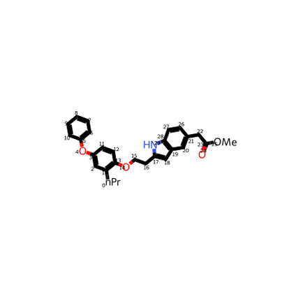 CCCc1cc(Oc2ccccc2)ccc1OCCc1cc2cc(CC(=O)OC)ccc2[nH]1